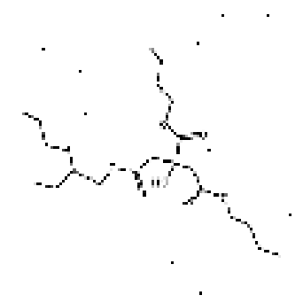 CCCCOC(=O)CC(O)(CC(=O)OCC(CC)CCCC)C(=O)OCCCC